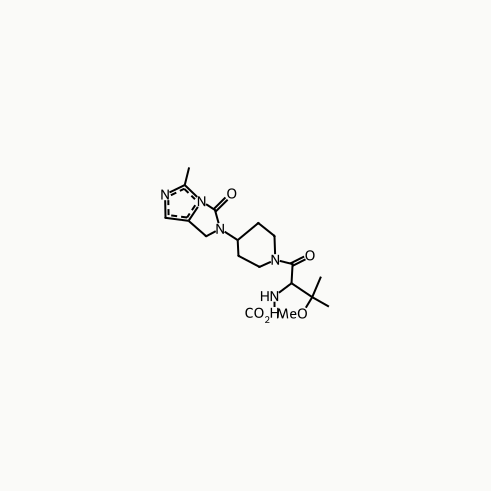 COC(C)(C)C(NC(=O)O)C(=O)N1CCC(N2Cc3cnc(C)n3C2=O)CC1